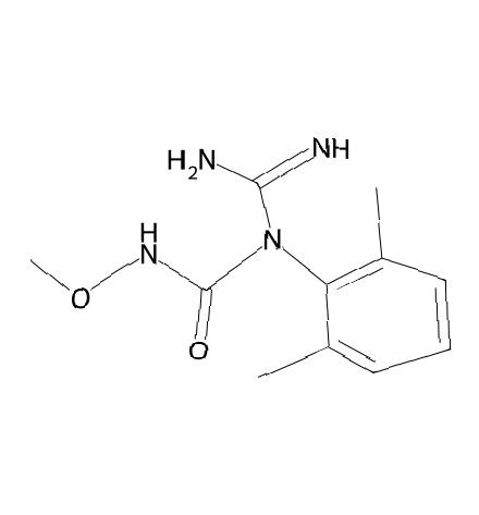 CONC(=O)N(C(=N)N)c1c(C)cccc1C